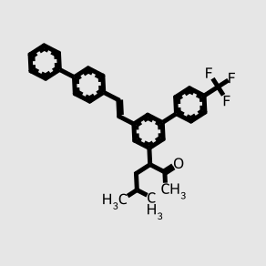 CC(=O)C(CC(C)C)c1cc(/C=C/c2ccc(-c3ccccc3)cc2)cc(-c2ccc(C(F)(F)F)cc2)c1